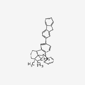 CC1(C)CCCC2c3cc(-c4ccc5c(c4)Cc4ccccc4-5)ccc3N(c3ccccc3)C21C